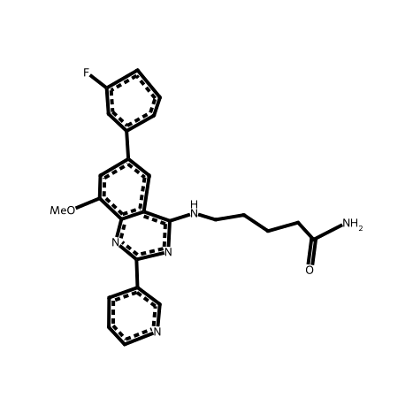 COc1cc(-c2cccc(F)c2)cc2c(NCCCCC(N)=O)nc(-c3cccnc3)nc12